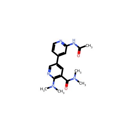 CC(=O)Nc1cc(-c2cnc(N(C)C)c(C(=O)N(C)C)c2)ccn1